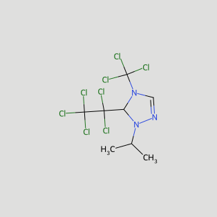 CC(C)N1N=CN(C(Cl)(Cl)Cl)C1C(Cl)(Cl)C(Cl)(Cl)Cl